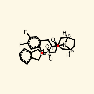 N[C@H](Cc1cc(F)c(F)cc1F)C1C[C@H]2CC[C@@H](C1)N2C(=O)CS(=O)(=O)N1Cc2ccccc2C1